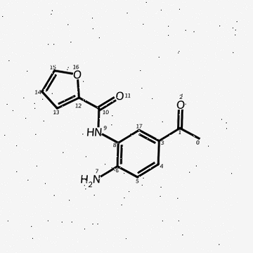 CC(=O)c1ccc(N)c(NC(=O)c2ccco2)c1